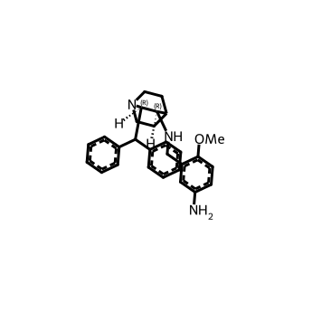 COc1ccc(N)cc1CN[C@@H]1C2CCN(CC2)[C@@H]1C(c1ccccc1)c1ccccc1